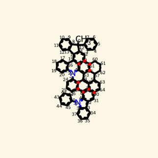 CC1(c2ccccc2)c2ccccc2-c2c(-c3ccccc3N(c3cccc(-c4cccc5c6ccccc6n(-c6ccccc6)c45)c3)c3ccccc3C3=c4c(C5CCCCC5)cccc4=CCC3)cccc21